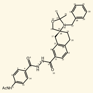 CC(=O)Nc1ccc(C(=O)NNC(=O)c2ccc3c(c2)C[C@@]2(CC3)COC(C)(C)N2Cc2ccccc2)cc1